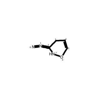 [N-]=[N+]=C1CC=CON1